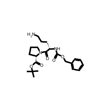 CC(C)(C)OC(=O)[C@@H]1CCCN1C(=O)[C@H](CCCN)NC(=O)OCc1ccccc1